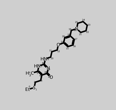 CCSCCc1c(C)[nH]c(NCCCOc2cccc(CN3CCCCC3)c2)nc1=O